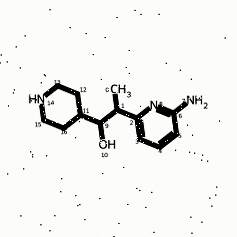 CC(c1cccc(N)n1)C(O)C1CCNCC1